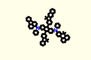 CC1(C)c2ccccc2-c2ccc(-c3c4ccc(N(c5ccccc5)c5ccc6c(c5)C(C)(C)c5cccc7cccc-6c57)cc4c(-c4ccc5c(c4)C(C)(C)c4cc6ccccc6cc4-5)c4ccc(N(c5ccccc5)c5ccc6c7c(cccc57)-c5ccccc5-6)cc34)cc21